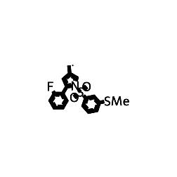 [CH2]c1cc(-c2ccccc2F)n(S(=O)(=O)c2cccc(SC)c2)c1